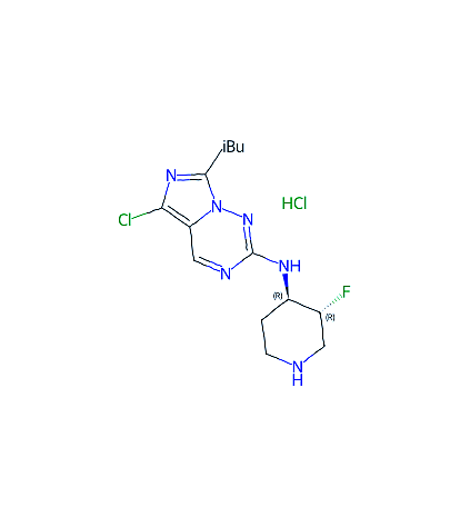 CCC(C)c1nc(Cl)c2cnc(N[C@@H]3CCNC[C@H]3F)nn12.Cl